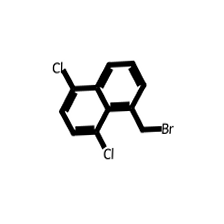 Clc1ccc(Cl)c2c(CBr)cccc12